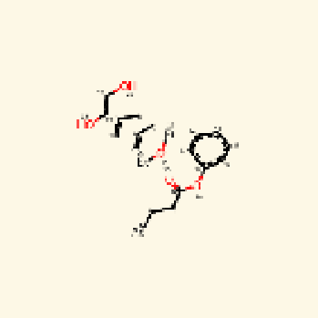 C=CC.C=CC.CC(=O)CCC(=O)Oc1ccccc1.CCOCC.OCCO